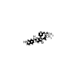 CCN(CC)Cc1cc(-n2c3nc(Nc4ccc5c(c4)CNCC5)ncc3c(=O)n2C2CC2)ccn1